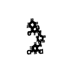 O=c1cc(CN2CCN(Cc3ccc(Cl)cc3Cl)CC2)oc2ccccc12